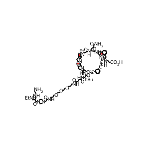 CCCC[C@H](NC(=O)CCC(=O)NCCCOCCOCCOCCCNC(=O)CN1CCN(C(=O)C(CNCC)CNCCN)CC1)C(=O)N[C@H]1CSCc2cccc(c2)CSC[C@@H](C(=O)NCCC(=O)O)NC(=O)[C@H](Cc2ccccc2)NC(=O)[C@H](CCC(N)=O)NC(=O)[C@H](CC)NC(=O)[C@@H]2CCCN2C(=O)[C@@H]2CCCN2C1=O